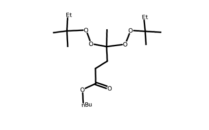 CCCCOC(=O)CCC(C)(OOC(C)(C)CC)OOC(C)(C)CC